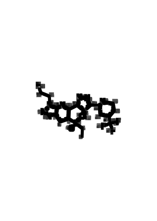 CCS(=O)(=O)c1cc2nnn(CCF)c2nc1-c1nnc(-c2cc(C(F)(F)F)ccn2)n1C